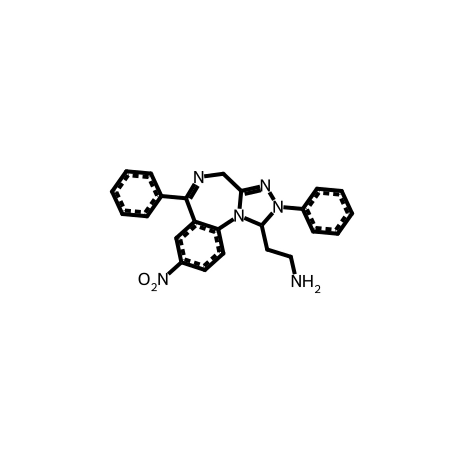 NCCC1N(c2ccccc2)N=C2CN=C(c3ccccc3)c3cc([N+](=O)[O-])ccc3N21